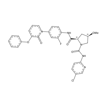 CO[C@@H]1C[C@H](C(=O)Nc2ccc(-n3cccc(Oc4ccccc4)c3=O)cc2F)N(C(=O)Nc2ccc(Cl)cn2)C1